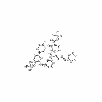 CN1CCN(c2ccc(OC(F)(F)F)c(Nc3nccc(-c4cc5c(n4CCOC4CCCCO4)CCN(C(=O)OC(C)(C)C)C5=O)n3)c2)CC1